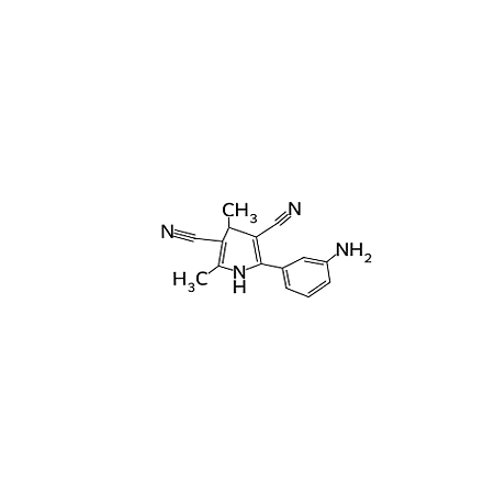 CC1=C(C#N)C(C)C(C#N)=C(c2cccc(N)c2)N1